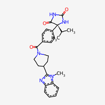 CC(C)[C@]1(c2ccc(C(=O)N3CCC(c4nc5ccccc5n4C)CC3)cc2)NC(=O)NC1=O